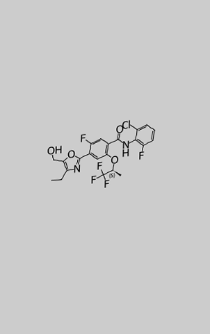 CCc1nc(-c2cc(O[C@@H](C)C(F)(F)F)c(C(=O)Nc3c(F)cccc3Cl)cc2F)oc1CO